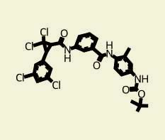 Cc1cc(NC(=O)OC(C)(C)C)ccc1NC(=O)c1cccc(NC(=O)C2C(c3cc(Cl)cc(Cl)c3)C2(Cl)Cl)c1